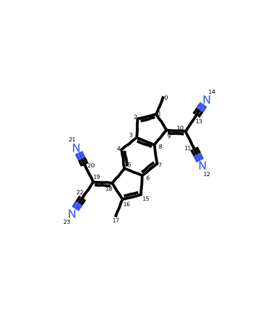 CC1=Cc2cc3c(cc2C1=C(C#N)C#N)C=C(C)C3=C(C#N)C#N